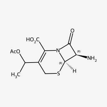 CC(=O)OC(C)C1=C(C(=O)O)N2C(=O)[C@@H](N)[C@H]2SC1